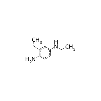 CCNc1ccc(N)c(CC)c1